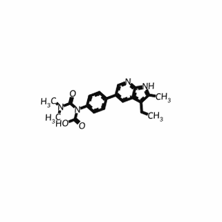 CCc1c(C)[nH]c2ncc(-c3ccc(N(C(=O)O)C(=O)N(C)C)cc3)cc12